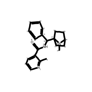 Cc1ncccc1C(=O)NC(c1ccccc1)C12CCC(CC1)N2C